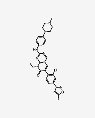 CCn1c(=O)c(-c2ccc(-c3noc(C)n3)cc2Cl)cc2cnc(Nc3ccc(C4CCN(C)CC4)cc3)nc21